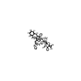 CPC(=O)C1(OCNC(=O)CNC(=O)C(Cc2ccccc2)NC(=O)CNC=O)CC1